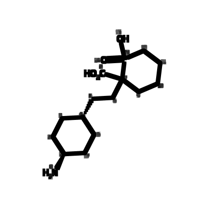 N[C@H]1CC[C@H](CCC2(C(=O)O)CCCCP2(=O)O)CC1